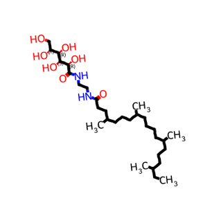 CCC(C)CCCC(C)CCCCC(C)CCCC(C)CCC(=O)NCCNC(=O)[C@H](O)[C@@H](O)[C@H](O)[C@H](O)CO